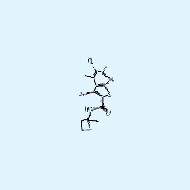 Cc1nc2sc(C(=O)NC3(C)CCC3)c(Br)c2c(C)c1Cl